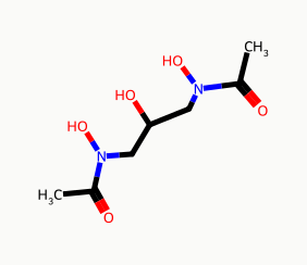 CC(=O)N(O)CC(O)CN(O)C(C)=O